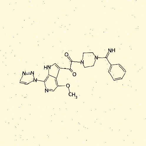 COc1cnc(-n2ccnn2)c2[nH]cc(C(=O)C(=O)N3CCN(C(=N)c4ccccc4)CC3)c12